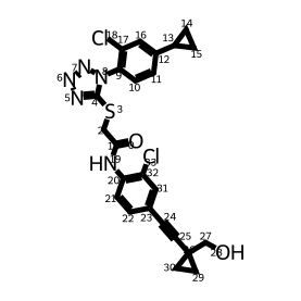 O=C(CSc1nnnn1-c1ccc(C2CC2)cc1Cl)Nc1ccc(C#CC2(CO)CC2)cc1Cl